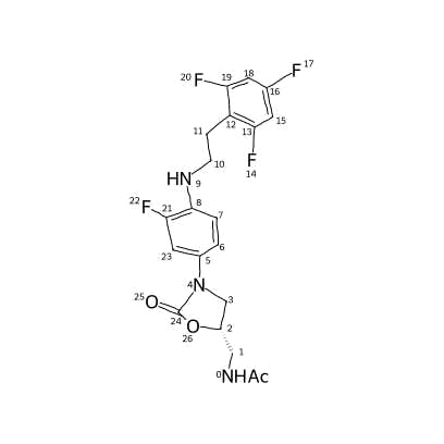 CC(=O)NC[C@H]1CN(c2ccc(NCCc3c(F)cc(F)cc3F)c(F)c2)C(=O)O1